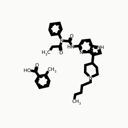 CCCCCN1CCC(c2c[nH]c3ccc(NC(=O)N(C(=O)CC)c4ccccc4)nc23)CC1.Cc1ccccc1C(=O)O